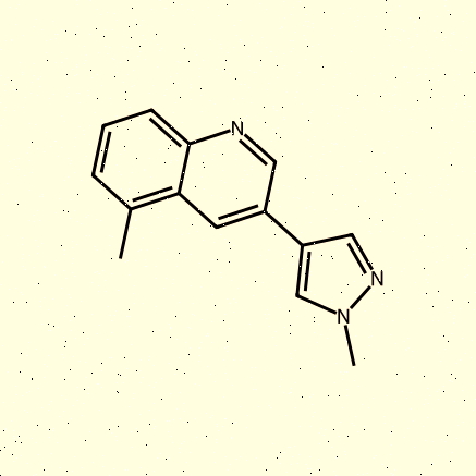 Cc1cccc2ncc(-c3cnn(C)c3)cc12